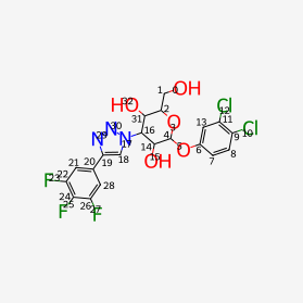 OCC1OC(Oc2ccc(Cl)c(Cl)c2)C(O)C(n2cc(-c3cc(F)c(F)c(F)c3)nn2)C1O